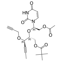 C#CCO[C@H](C#CC)[C@@H](COC(=O)C(C)(C)C)O[C@H](COC(C)=O)n1ccc(=O)[nH]c1=O